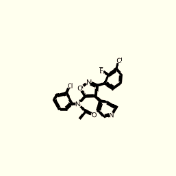 CC(=O)N(c1ccccc1Cl)c1onc(-c2cccc(Cl)c2F)c1-c1ccncc1